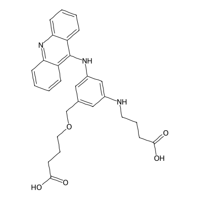 O=C(O)CCCNc1cc(COCCCC(=O)O)cc(Nc2c3ccccc3nc3ccccc23)c1